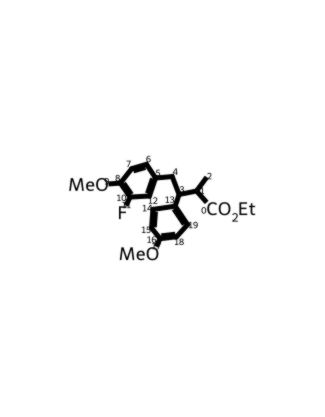 CCOC(=O)C(C)C(Cc1ccc(OC)c(F)c1)c1ccc(OC)cc1